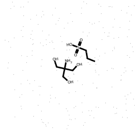 CCCS(=O)(=O)O.NC(CO)(CO)CO